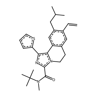 C=Cc1cc2c(cc1CC(C)C)-c1c(-c3cccs3)nc(C(=O)N(C)C(C)(C)C)n1CC2